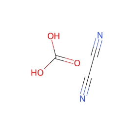 N#CC#N.O=C(O)O